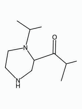 CC(C)C(=O)C1CNCCN1C(C)C